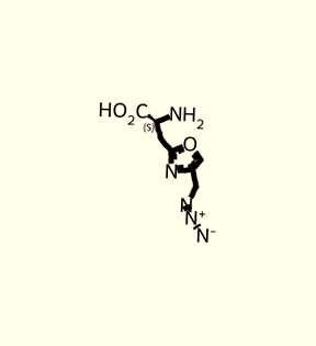 [N-]=[N+]=NCc1coc(C[C@H](N)C(=O)O)n1